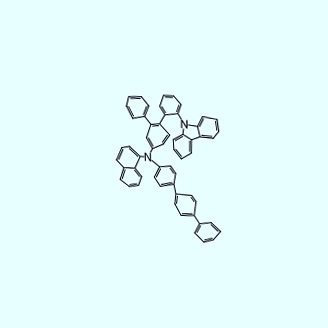 c1ccc(-c2ccc(-c3ccc(N(c4ccc(-c5ccccc5-n5c6ccccc6c6ccccc65)c(-c5ccccc5)c4)c4cccc5ccccc45)cc3)cc2)cc1